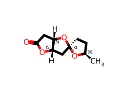 C[C@@H]1CC[C@@]2(C[C@@H]3OC(=O)C[C@@H]3O2)O1